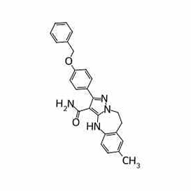 Cc1ccc2c(c1)CCn1nc(-c3ccc(OCc4ccccc4)cc3)c(C(N)=O)c1N2